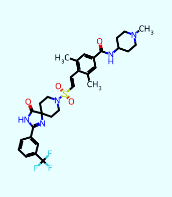 Cc1cc(C(=O)NC2CCN(C)CC2)cc(C)c1/C=C/S(=O)(=O)N1CCC2(CC1)N=C(c1cccc(C(F)(F)F)c1)NC2=O